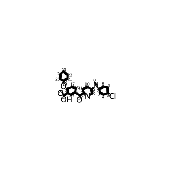 CN(c1ccc(Cl)cc1)c1ccc(C(=O)c2ccc(Oc3ccccc3)c(C(=O)O)c2)nc1